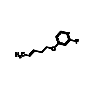 C/C=C/CCOc1cc[c]c(F)c1